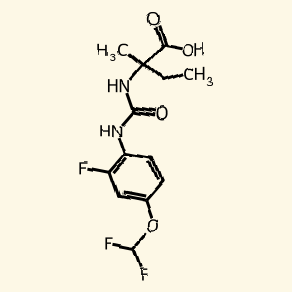 CCC(C)(NC(=O)Nc1ccc(OC(F)F)cc1F)C(=O)O